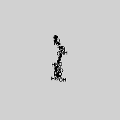 CC(C)(C)c1cnc(CSc2cnc(NC(=O)CCCCC(=O)Nc3ccn([C@@H]4O[C@H](CO)[C@@H](O)C4(F)F)c(=O)n3)s2)o1